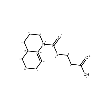 O=C(O)CCSC(=O)N1CCCC2CCCC=C21